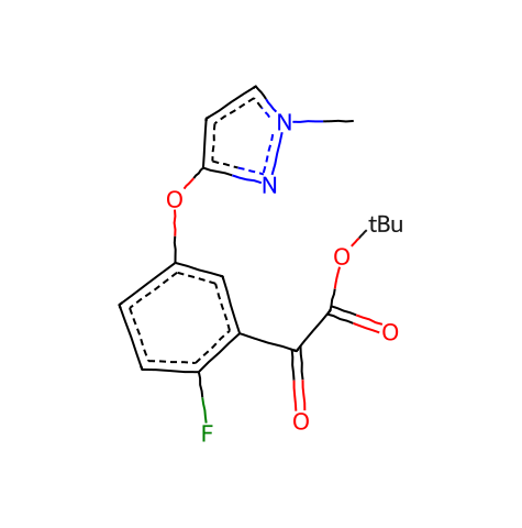 Cn1ccc(Oc2ccc(F)c(C(=O)C(=O)OC(C)(C)C)c2)n1